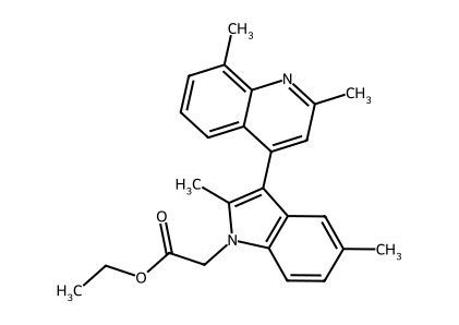 CCOC(=O)Cn1c(C)c(-c2cc(C)nc3c(C)cccc23)c2cc(C)ccc21